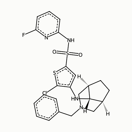 O=S(=O)(Nc1cccc(F)n1)c1cc(N[C@@H]2[C@@H]3CC[C@H]2CN(Cc2ccccc2)C3)c(Cl)s1